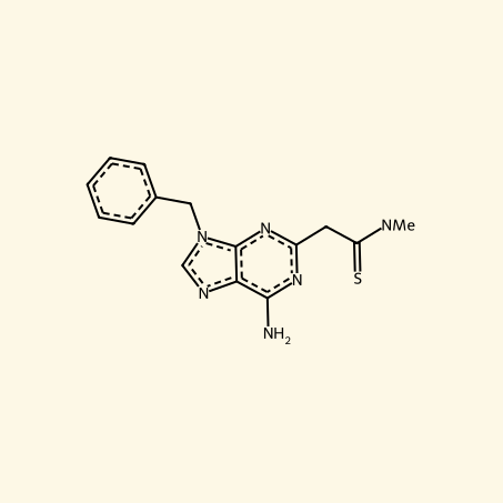 CNC(=S)Cc1nc(N)c2ncn(Cc3ccccc3)c2n1